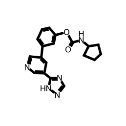 O=C(NC1CCCC1)Oc1cccc(-c2cncc(-c3ncn[nH]3)c2)c1